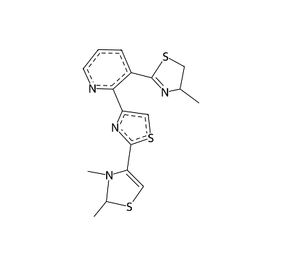 CC1CSC(c2cccnc2-c2csc(C3=CSC(C)N3C)n2)=N1